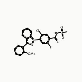 COc1ccccc1-c1nn(-c2cc(F)c(C(=O)NS(C)(=O)=O)cc2Cl)c2ccccc12